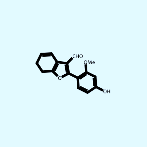 COc1cc(O)ccc1-c1oc2c(c1C=O)C=CCC2